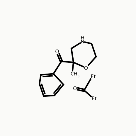 CC1(C(=O)c2ccccc2)CNCCO1.CCC(=O)CC